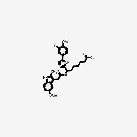 CCC(=O)CCCCCC(NC(=O)Cc1c(C)[nH]c2ccc(OC)cc12)c1ncc(-c2ccc(OC)c(F)c2)[nH]1